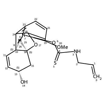 C=CCNC(=S)ON1CC[C@@]23C=C[C@@H](O)C[C@@H]2Oc2c(OC)ccc(c23)C1